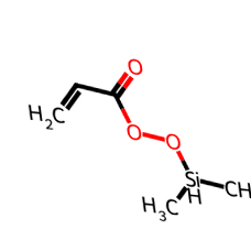 C=CC(=O)OO[SiH](C)C